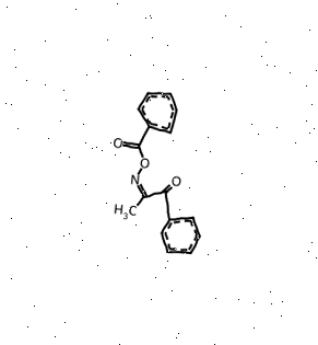 CC(=NOC(=O)c1ccccc1)C(=O)c1ccccc1